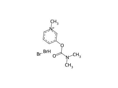 Br.CN(C)C(=O)Oc1ccc[n+](C)c1.[Br-]